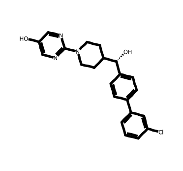 Oc1cnc(N2CCC([C@H](O)c3ccc(-c4cccc(Cl)c4)cc3)CC2)nc1